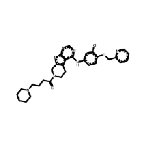 O=C(CCCN1CCCCC1)N1CCc2c(sc3ncnc(Nc4ccc(OCc5ccccn5)c(Cl)c4)c23)C1